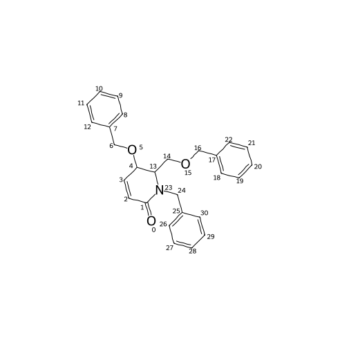 O=C1C=CC(OCc2ccccc2)C(COCc2ccccc2)N1Cc1ccccc1